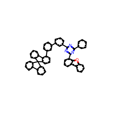 c1ccc(-c2nc(-c3cccc(-c4cccc(-c5cccc6c5-c5ccccc5C65c6ccccc6-c6ccccc65)c4)c3)nc(-c3cccc4c3oc3ccccc34)n2)cc1